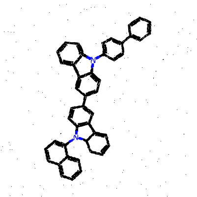 C1=CCC2C(=C1)c1cc(-c3ccc4c(c3)c3ccccc3n4-c3ccc(-c4ccccc4)cc3)ccc1N2c1cccc2ccccc12